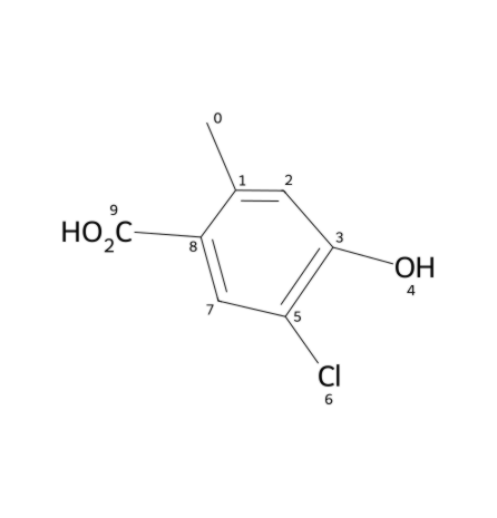 Cc1cc(O)c(Cl)cc1C(=O)O